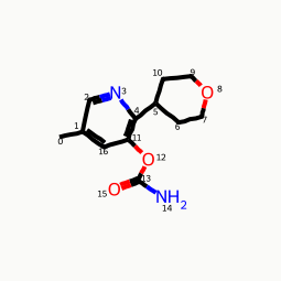 Cc1cnc(C2CCOCC2)c(OC(N)=O)c1